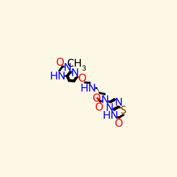 CN1C(=O)CNc2ccc(OCCNC[C@@H]3CN(c4cnc5c(n4)NC(=O)CS5)C(=O)O3)nc21